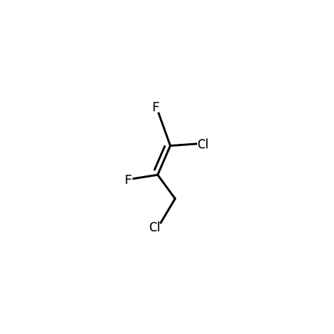 FC(Cl)=C(F)CCl